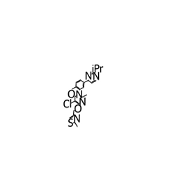 Cc1nc(COc2nc(C)n(-c3cc(-c4ccnc(C(C)C)n4)ccc3C)c(=O)c2Cl)cs1